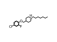 CCCCCCC[SiH]1CCC(COc2ccc(Cl)cc2F)CC1